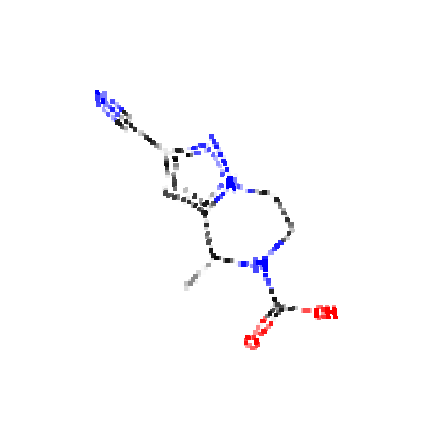 C[C@@H]1c2cc(C#N)nn2CCN1C(=O)O